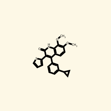 COc1ccc2c(-c3cccc(C4CC4)c3)c(-c3cccs3)c(=O)[nH]c2c1OC